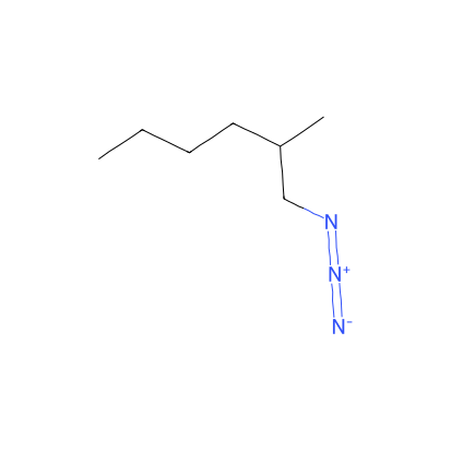 CCCCC(C)CN=[N+]=[N-]